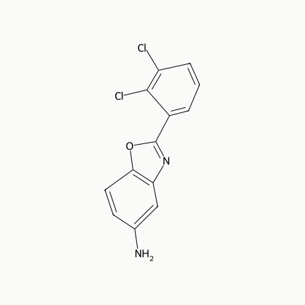 Nc1ccc2oc(-c3cccc(Cl)c3Cl)nc2c1